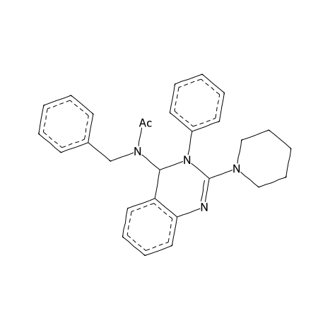 CC(=O)N(Cc1ccccc1)C1c2ccccc2N=C(N2CCCCC2)N1c1ccccc1